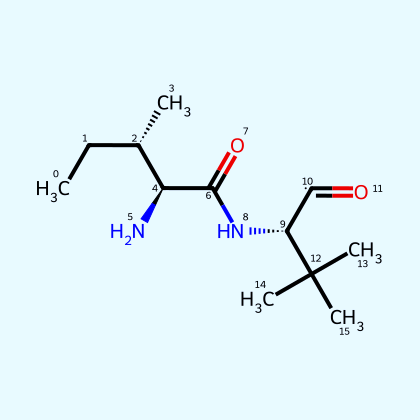 CC[C@H](C)[C@H](N)C(=O)N[C@H]([C]=O)C(C)(C)C